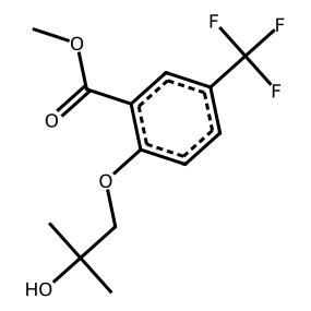 COC(=O)c1cc(C(F)(F)F)ccc1OCC(C)(C)O